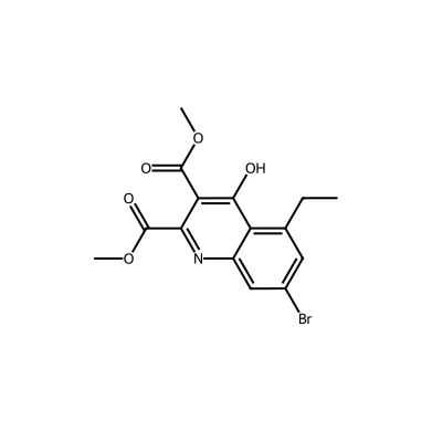 CCc1cc(Br)cc2nc(C(=O)OC)c(C(=O)OC)c(O)c12